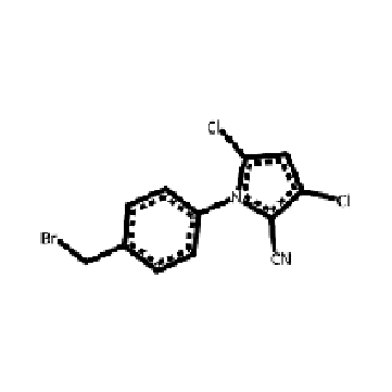 N#Cc1c(Cl)cc(Cl)n1-c1ccc(CBr)cc1